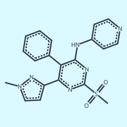 Cn1ccc(-c2nc(S(C)(=O)=O)nc(Nc3ccncc3)c2-c2ccccc2)n1